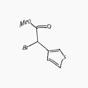 COC(=O)C(Br)c1ccsc1